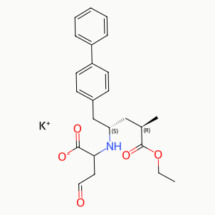 CCOC(=O)[C@H](C)C[C@@H](Cc1ccc(-c2ccccc2)cc1)NC(CC=O)C(=O)[O-].[K+]